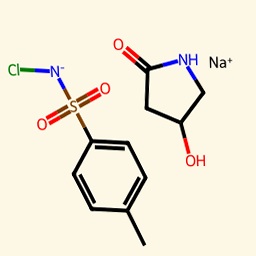 Cc1ccc(S(=O)(=O)[N-]Cl)cc1.O=C1CC(O)CN1.[Na+]